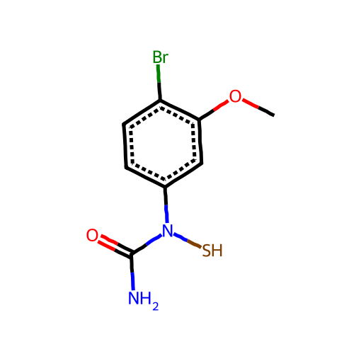 COc1cc(N(S)C(N)=O)ccc1Br